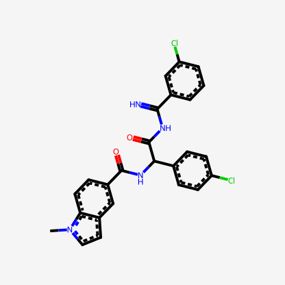 Cn1ccc2cc(C(=O)NC(C(=O)NC(=N)c3cccc(Cl)c3)c3ccc(Cl)cc3)ccc21